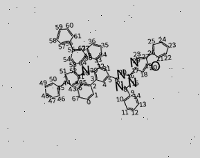 C1=CC(c2cc(-c3nc(-c4ccccc4)nc(-c4cc5oc6ccccc6c5cn4)n3)cc(-c3ccccc3)c2-n2c3ccc(-c4ccccc4)cc3c3cc(-c4ccccc4)ccc32)=CCC1